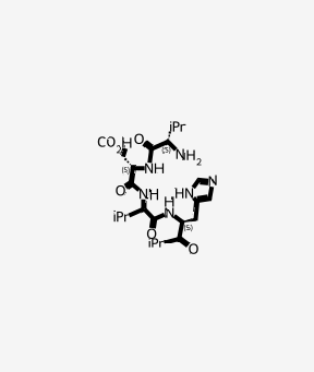 CC(C)C(=O)[C@H](Cc1cnc[nH]1)NC(=O)C(NC(=O)[C@H](CC(=O)O)NC(=O)[C@@H](N)C(C)C)C(C)C